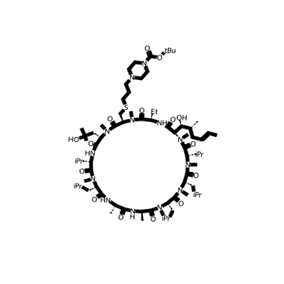 C/C=C/C[C@@H](C)[C@@H](O)[C@H]1C(=O)N[C@@H](CC)C(=O)N(C)[C@H](CSCCCN2CCN(C(=O)OC(C)(C)C)CC2)C(=O)N(C)[C@@H](CC(C)(C)O)C(=O)N[C@@H](C(C)C)C(=O)N(C)[C@@H](CC(C)C)C(=O)N[C@@H](C)C(=O)N[C@H](C)C(=O)N(C)[C@@H](CC(C)C)C(=O)N(C)[C@@H](CC(C)C)C(=O)N(C)[C@@H](C(C)C)C(=O)N1C